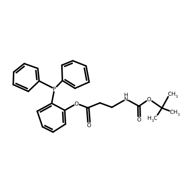 CC(C)(C)OC(=O)NCCC(=O)Oc1ccccc1P(c1ccccc1)c1ccccc1